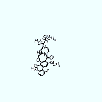 COc1cc(-c2c(O)cccc2F)c(Cl)c2c1C(=O)N1CCN(C(=O)OC(C)(C)C)C[C@@H]1CO2